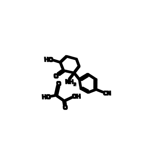 N#Cc1ccc(C2(N)CCCC(O)C2=O)cc1.O=C(O)C(=O)O